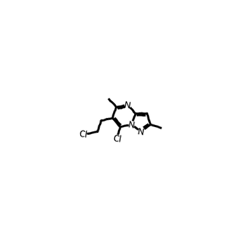 Cc1cc2nc(C)c(CCCl)c(Cl)n2n1